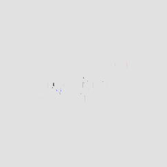 CN(C)[C@H]1CC[C@H]2[C@@H]3CC[C@H]4C[C@@H](O)CC[C@]4(C)[C@H]3CC[C@]12C